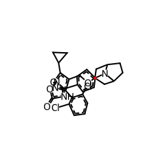 O=c1[nH]c(-c2ccc(N3C4CCC3CC(OCc3c(-c5c(Cl)cccc5Cl)noc3C3CC3)C4)cc2)no1